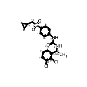 C[C@H](NC(=O)Nc1ccc(S(=O)(=O)CC2CC2)cc1)c1cccc(Cl)c1Cl